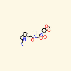 N#Cc1ccc2cccc(C=CC(=O)NCC3CN(c4ccc5c(c4)OCCO5)C(=O)O3)c2n1